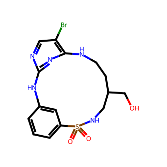 O=S1(=O)NCC(CO)CCNc2nc(ncc2Br)Nc2cccc1c2